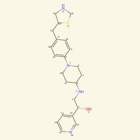 O[C@@H](CNC1CCN(c2ccc(CC3CNCS3)cc2)CC1)c1cccnc1